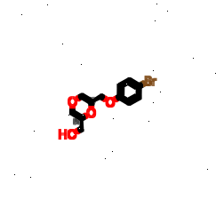 OC[C@H]1COC[C@@H](COc2ccc(Br)cc2)O1